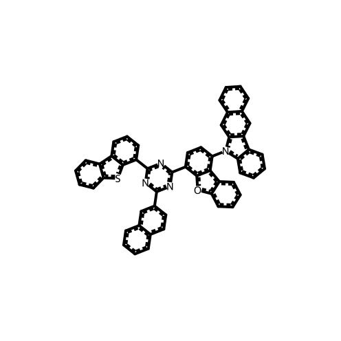 c1ccc2cc(-c3nc(-c4ccc(-n5c6ccccc6c6cc7ccccc7cc65)c5c4oc4ccccc45)nc(-c4cccc5c4sc4ccccc45)n3)ccc2c1